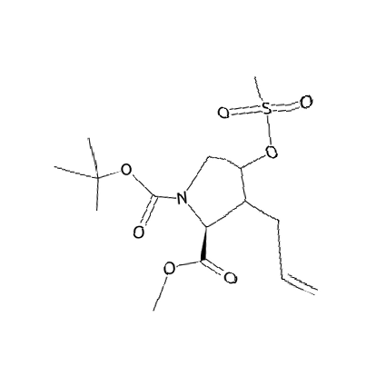 C=CCC1C(OS(C)(=O)=O)CN(C(=O)OC(C)(C)C)[C@@H]1C(=O)OC